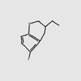 Fc1ccc2c(c1)CC(CI)CS2